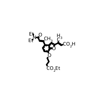 CCOC(=O)CCCOc1ccc(/C(C)=C/C(=O)N(CC)CC)c2cc(/C(C)=C/C(=O)O)oc12